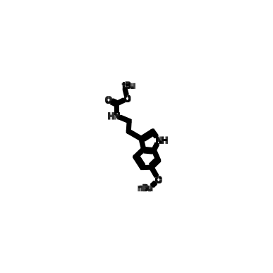 CCCCOc1ccc2c(CCNC(=O)OC(C)(C)C)c[nH]c2c1